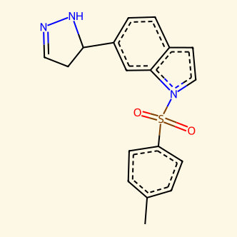 Cc1ccc(S(=O)(=O)n2ccc3ccc(C4CC=NN4)cc32)cc1